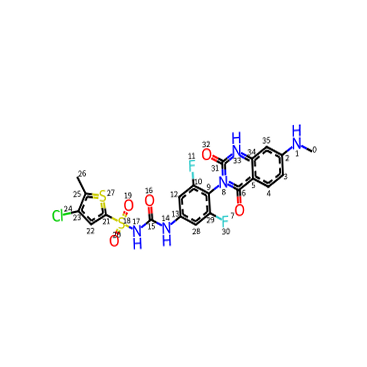 CNc1ccc2c(=O)n(-c3c(F)cc(NC(=O)NS(=O)(=O)c4cc(Cl)c(C)s4)cc3F)c(=O)[nH]c2c1